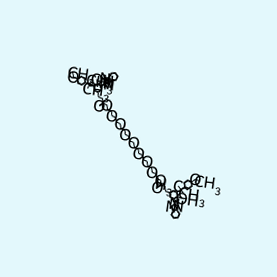 COc1ccc(C(C)(C)c2cc(CCC(=O)OCCOCCOCCOCCOCCOCCOCCOCCOC(=O)CCc3cc(-n4nc5ccccc5n4)c(O)c(C(C)(C)c4ccc(OC)cc4)c3)cc(-n3nc4ccccc4n3)c2O)cc1